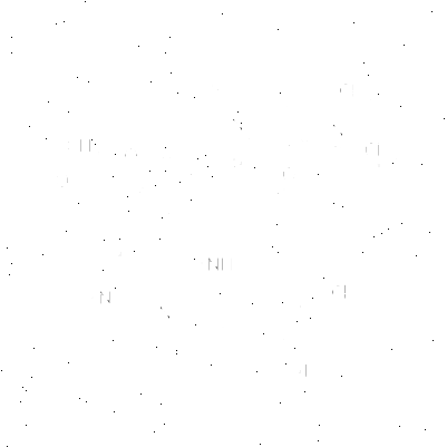 COc1cc2ncnc(Nc3ccc(F)c(Cl)c3)c2cc1OC1CCN(CC(=O)N(C)C)CC1